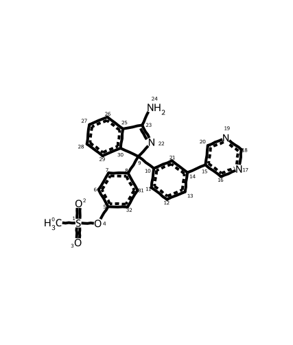 CS(=O)(=O)Oc1ccc(C2(c3cccc(-c4cncnc4)c3)N=C(N)c3ccccc32)cc1